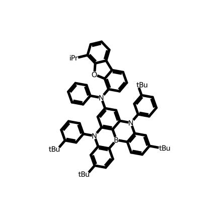 CC(C)c1cccc2c1oc1c(N(c3ccccc3)c3cc4c5c(c3)N(c3cccc(C(C)(C)C)c3)c3cc(C(C)(C)C)ccc3B5c3ccc(C(C)(C)C)cc3N4c3cccc(C(C)(C)C)c3)cccc12